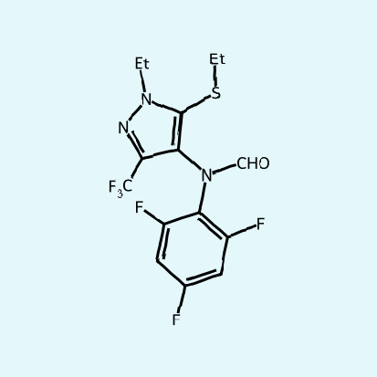 CCSc1c(N(C=O)c2c(F)cc(F)cc2F)c(C(F)(F)F)nn1CC